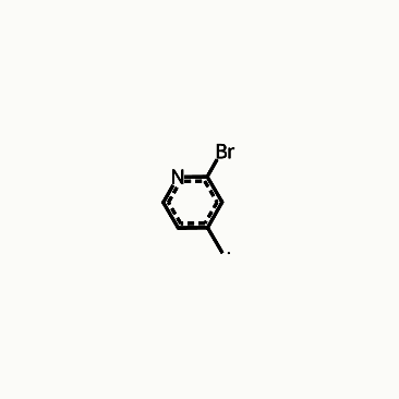 [CH2]c1ccnc(Br)c1